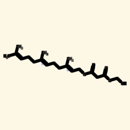 CC(C)=CCC/C(C)=C/CC/C(C)=C/COC(=O)CC(=O)OCO